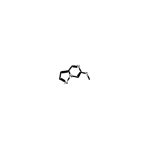 CSc1cn2nccc2cn1